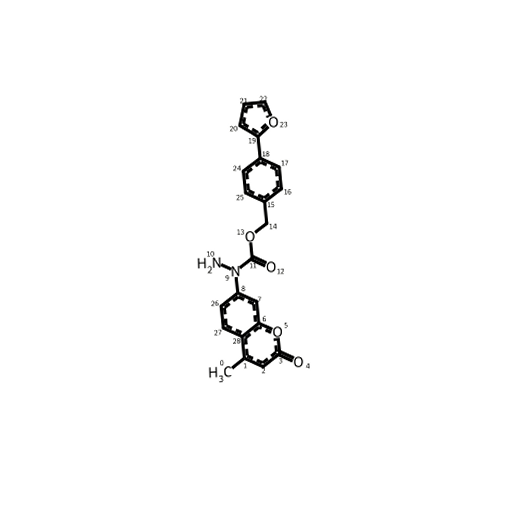 Cc1cc(=O)oc2cc(N(N)C(=O)OCc3ccc(-c4ccco4)cc3)ccc12